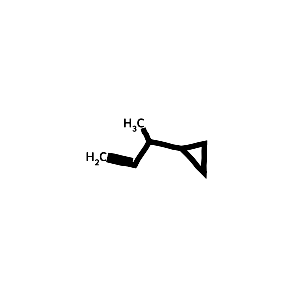 C=CC(C)C1CC1